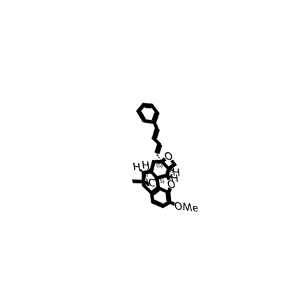 COc1ccc2c3c1O[C@H]1[C@@H]4CO[C@]4(C=CC=Cc4ccccc4)C[C@H]4[C@@H](C2)N(C)CC[C@@]341